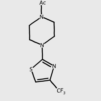 CC(=O)N1CCN(c2nc(C(F)(F)F)cs2)CC1